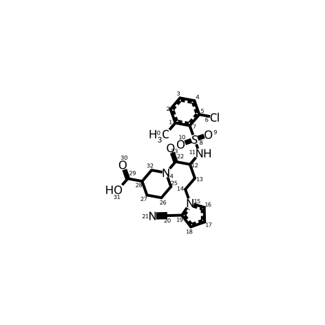 Cc1cccc(Cl)c1S(=O)(=O)NC(CCn1cccc1C#N)C(=O)N1CCCC(C(=O)O)C1